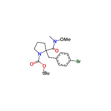 CON(C)C(=O)C1(Cc2ccc(Br)cc2)CCCN1C(=O)OC(C)(C)C